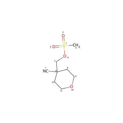 CS(=O)(=O)OCC1(C#N)CCOCC1